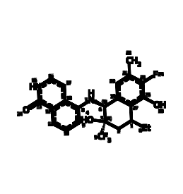 CCC1C[C@](O)(C(F)(F)F)[C@@H](Nc2cccc3c(=O)[nH]ccc23)c2cc(C)c(F)c(O)c21